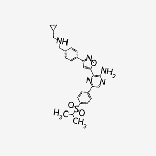 CC(C)S(=O)(=O)c1ccc(-c2cnc(N)c(-c3cc(-c4ccc(CNCC5CC5)cc4)no3)n2)cc1